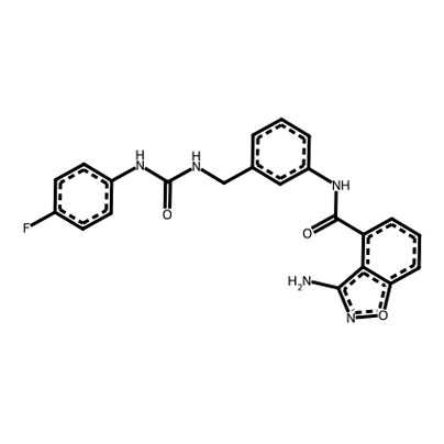 Nc1noc2cccc(C(=O)Nc3cccc(CNC(=O)Nc4ccc(F)cc4)c3)c12